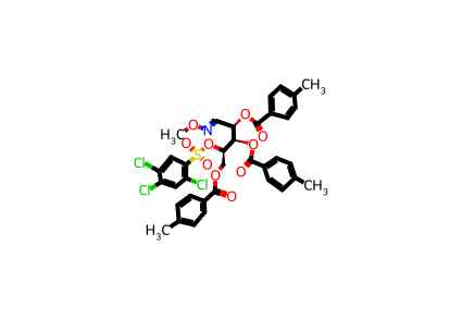 CON=C[C@@H](OC(=O)c1ccc(C)cc1)[C@@H](OC(=O)c1ccc(C)cc1)[C@@H](COC(=O)c1ccc(C)cc1)OS(=O)(=O)c1cc(Cl)c(Cl)cc1Cl